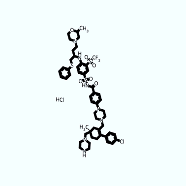 CC1CN(CCC(CSc2ccccc2)Nc2ccc(S(=O)(=O)NC(=O)c3ccc(N4CCN(CC5=C(c6ccc(Cl)cc6)CC[C@@](C)(CN6CCNCC6)C5)CC4)cc3)cc2S(=O)(=O)C(F)(F)F)CCO1.Cl